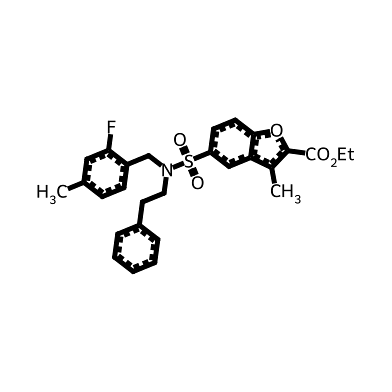 CCOC(=O)c1oc2ccc(S(=O)(=O)N(CCc3ccccc3)Cc3ccc(C)cc3F)cc2c1C